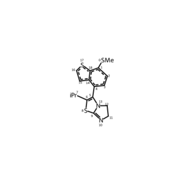 CSc1ccc(C2=C(C(C)C)SC3=NCCN32)c2ccsc12